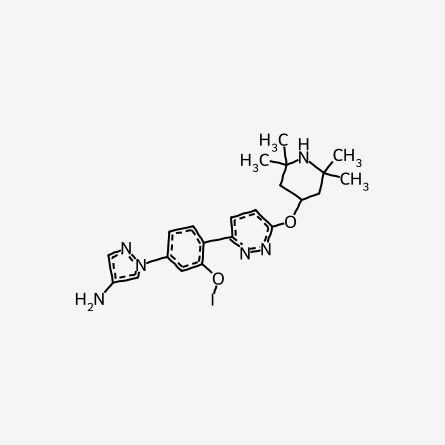 CC1(C)CC(Oc2ccc(-c3ccc(-n4cc(N)cn4)cc3OI)nn2)CC(C)(C)N1